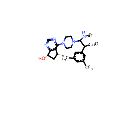 CC(C)NC(C(C=O)c1cc(C(F)(F)F)cc(C(F)(F)F)c1)N1CCN(c2ncnc3c2[C@H](C)C[C@@H]3O)CC1